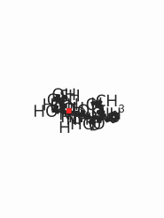 CCC(C)(C)CC(=O)N[C@@H](Cc1ccccc1)C(=O)N[C@@H](CCC(=O)NC[C@H](N)C(=O)N[C@@H](CC(=O)O)C(=O)N[C@@H](CS)C(=O)O)C(=O)O